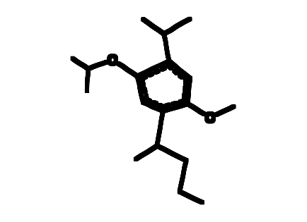 CCCC(C)c1cc(OC(C)C)c(C(C)C)cc1OC